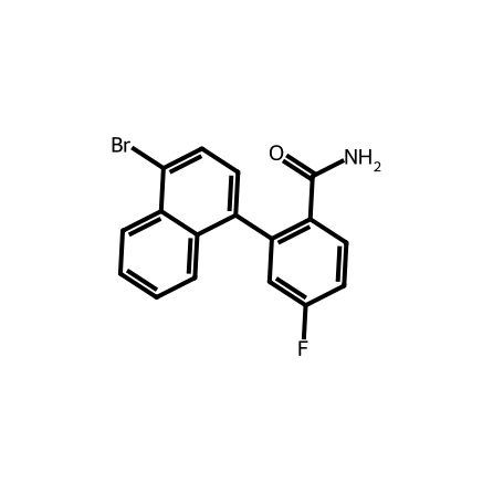 NC(=O)c1ccc(F)cc1-c1ccc(Br)c2ccccc12